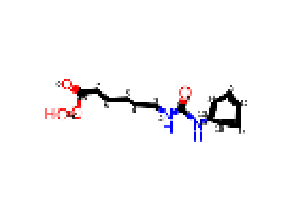 O=C(NCCCCCC(=O)OO)Nc1ccccc1